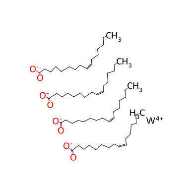 CCCCCC/C=C\CCCCCCCC(=O)[O-].CCCCCC/C=C\CCCCCCCC(=O)[O-].CCCCCC/C=C\CCCCCCCC(=O)[O-].CCCCCC/C=C\CCCCCCCC(=O)[O-].[W+4]